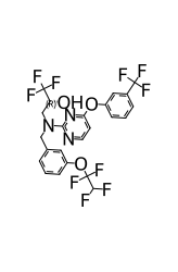 O[C@H](CN(Cc1cccc(OC(F)(F)C(F)F)c1)c1nccc(Oc2cccc(C(F)(F)F)c2)n1)C(F)(F)F